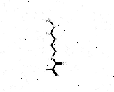 C=C(C)C(=O)OCCC[SiH2]OCCCC